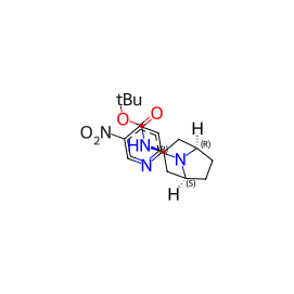 CC(C)(C)OC(=O)N[C@H]1C[C@H]2CC[C@@H](C1)N2c1ccc([N+](=O)[O-])cn1